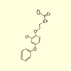 O=C(Cl)OCCOc1ccc(Oc2ccccc2)cc1Cl